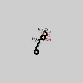 CC(CCCCc1ccccc1)c1cc(O)c2c(c1)OC(C)(C)CC2=O